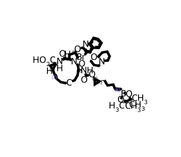 CC1(C)OB(/C=C/CCC[C@@H]2C[C@H]2OC(=O)N[C@H]2CCCCC/C=C\[C@@H]3C[C@@]3(C(=O)O)NC(=O)[C@@H]3C[C@@H](Oc4nc5ccccc5c(OCCCN5CCCCC5)c4Br)CN3C2=O)OC1(C)C